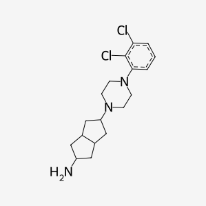 NC1CC2CC(N3CCN(c4cccc(Cl)c4Cl)CC3)CC2C1